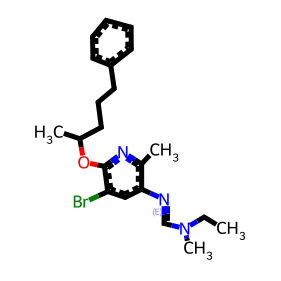 CCN(C)/C=N/c1cc(Br)c(OC(C)CCCc2ccccc2)nc1C